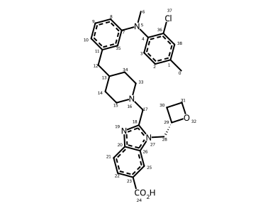 Cc1ccc(N(C)c2cccc(CC3CCN(Cc4nc5ccc(C(=O)O)cc5n4C[C@@H]4CCO4)CC3)c2)c(Cl)c1